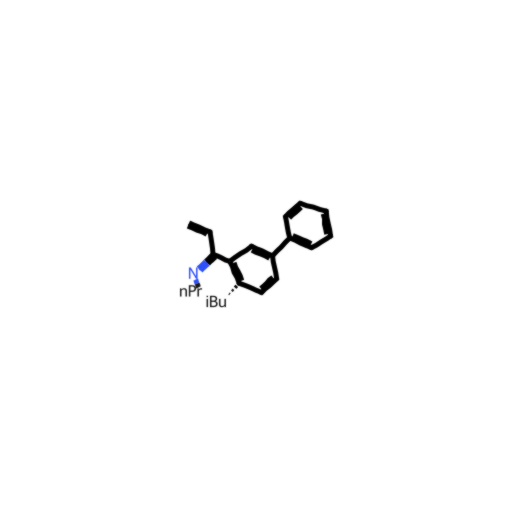 C=C/C(=N/CCC)c1cc(-c2ccccc2)ccc1[C@@H](C)CC